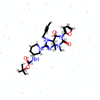 CC#CCN1C(N2CCC[C@@H](NC(=O)OC(C)(C)C)C2)=NC2(C)C1C(=O)N(c1ccco1)C(=O)N2C